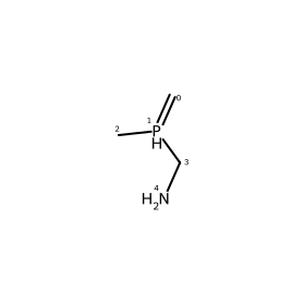 C=[PH](C)CN